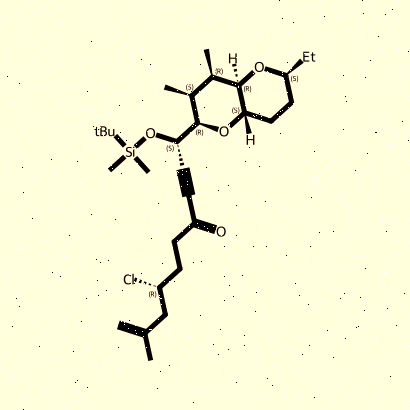 C=C(C)C[C@H](Cl)CCC(=O)C#C[C@H](O[Si](C)(C)C(C)(C)C)[C@@H]1O[C@H]2CC[C@H](CC)O[C@@H]2[C@H](C)[C@@H]1C